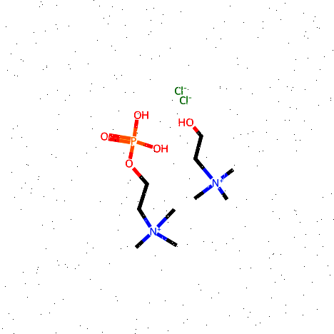 C[N+](C)(C)CCO.C[N+](C)(C)CCOP(=O)(O)O.[Cl-].[Cl-]